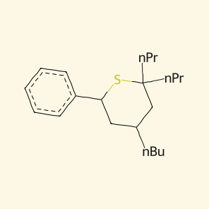 CCCCC1CC(c2ccccc2)SC(CCC)(CCC)C1